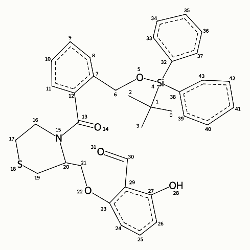 CC(C)(C)[Si](OCc1ccccc1C(=O)N1CCSCC1COc1cccc(O)c1C=O)(c1ccccc1)c1ccccc1